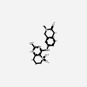 CN1Cc2cc(Nc3nc(Cl)nc4c3S(=O)(=O)CCC4)ccc2CC1=O